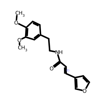 COc1ccc(CCNC(=O)/C=C/c2ccoc2)cc1OC